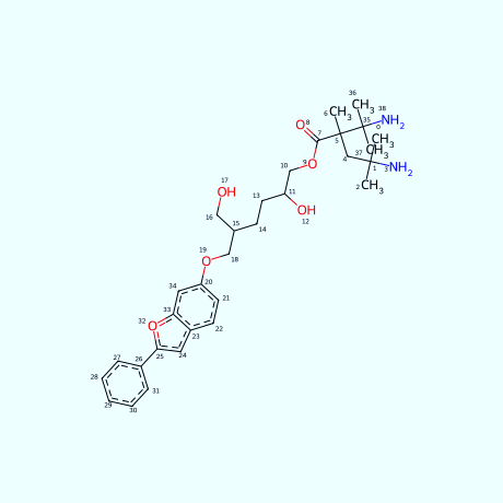 CC(C)(N)CC(C)(C(=O)OCC(O)CCC(CO)COc1ccc2cc(-c3ccccc3)oc2c1)C(C)(C)N